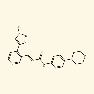 Cn1cc(-c2ccncc2C=CC(=O)Nc2ccc(N3CCOCC3)cc2)cn1